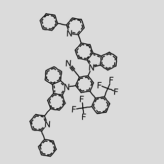 N#Cc1c(-n2c3ccccc3c3cc(-c4cccc(-c5ccccc5)n4)ccc32)cc(-c2c(C(F)(F)F)cccc2C(F)(F)F)cc1-n1c2ccccc2c2cc(-c3cccc(-c4ccccc4)n3)ccc21